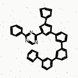 c1ccc(-c2cccc(-c3cccc(-c4cccc(-c5cc(-c6ccccc6)cc(-c6ncnc(-c7ccccc7)n6)c5)c4)c3)c2)cc1